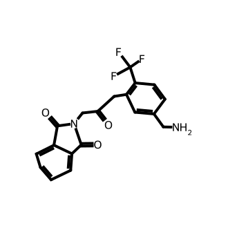 NCc1ccc(C(F)(F)F)c(CC(=O)CN2C(=O)c3ccccc3C2=O)c1